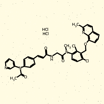 CC(=O)N(c1ccc(C=CC(=O)NCC(=O)N(C)c2ccc(Cl)c(COc3cccc4ccc(C)nc34)c2Cl)cc1)c1cccnc1.Cl.Cl